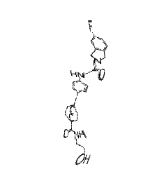 O=C(Nc1ccc(C23CCC(C(=O)NCCO)(CC2)CC3)cc1)N1Cc2ccc(F)cc2C1